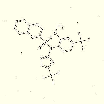 COc1cc(C(F)(F)F)ccc1N(c1nc(C(F)(F)F)cs1)S(=O)(=O)c1ccc2cnccc2c1